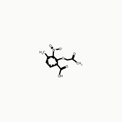 CC(=O)COc1c(C(=O)O)ccc(C)c1[N+](=O)[O-]